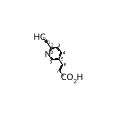 C#Cc1ccc(/C=C/C(=O)O)cn1